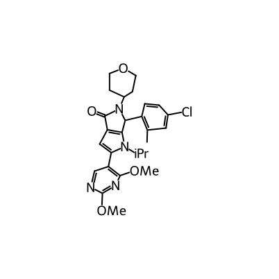 COc1ncc(-c2cc3c(n2C(C)C)C(c2ccc(Cl)cc2C)N(C2CCOCC2)C3=O)c(OC)n1